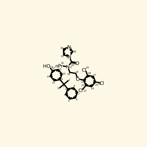 CC(C)(c1ccccc1)c1ccc(O)cc1.CCCN(CCOc1c(Cl)cc(Cl)cc1Cl)C(=O)n1ccnc1